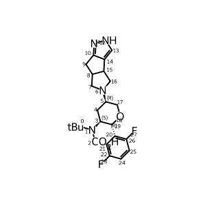 CC(C)(C)N(C(=O)O)[C@H]1C[C@@H](N2CC3Cc4n[nH]cc4C3C2)CO[C@@H]1c1cc(F)ccc1F